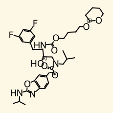 CC(C)CN(C[C@@H](O)C(Cc1cc(F)cc(F)c1)NC(=O)OCCCCO[C@H]1CCCCO1)S(=O)(=O)c1ccc2nc(NC(C)C)oc2c1